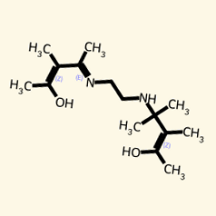 C/C(O)=C(C)/C(C)=N/CCNC(C)(C)/C(C)=C(/C)O